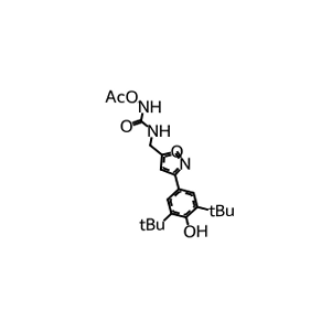 CC(=O)ONC(=O)NCc1cc(-c2cc(C(C)(C)C)c(O)c(C(C)(C)C)c2)no1